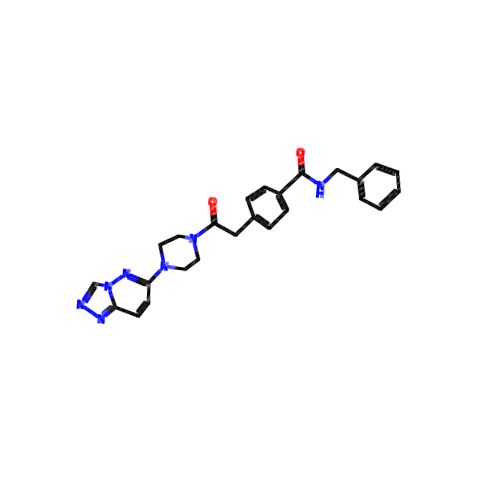 O=C(NCc1ccccc1)c1ccc(CC(=O)N2CCN(c3ccc4nncn4n3)CC2)cc1